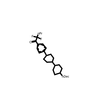 CCCCCCCCCCC1CCC(C2CCC(c3ccc(C(=O)C(F)(F)CCC)cc3)CC2)CC1